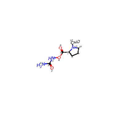 NC(=O)NOC(=O)[C@@H]1CCCN1C=O